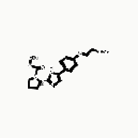 COCCOc1ccc(-c2cnc([C@@H]3CCCN3C(=O)OC(C)(C)C)[nH]2)cc1